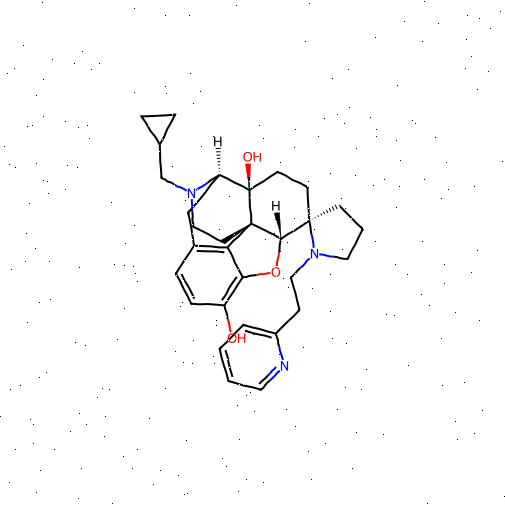 Oc1ccc2c3c1O[C@H]1[C@@]4(CCCN4CCc4ccccn4)CC[C@@]4(O)[C@@H](C2)N(CC2CC2)CC[C@]314